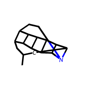 CC1CC2C3CCN4C(C1)C1C5C6C3C2C6C5C14